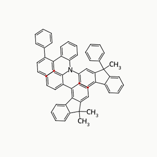 CC1(C)c2ccccc2-c2c(-c3ccccc3N(c3ccc4c(c3)C(C)(c3ccccc3)c3ccccc3-4)c3ccccc3-c3ccccc3-c3ccccc3)cccc21